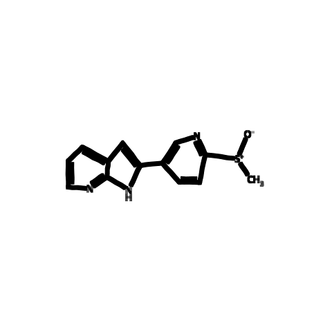 C[S+]([O-])c1ccc(-c2cc3cccnc3[nH]2)cn1